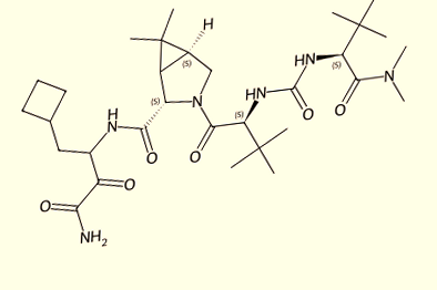 CN(C)C(=O)[C@@H](NC(=O)N[C@H](C(=O)N1C[C@H]2C([C@H]1C(=O)NC(CC1CCC1)C(=O)C(N)=O)C2(C)C)C(C)(C)C)C(C)(C)C